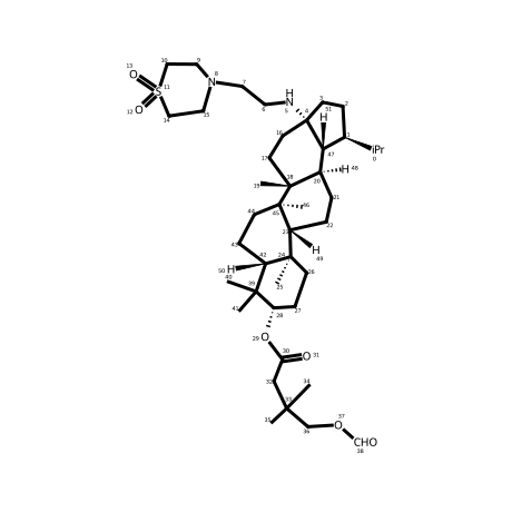 CC(C)[C@@H]1CC[C@]2(NCCN3CCS(=O)(=O)CC3)CC[C@]3(C)[C@H](CC[C@@H]4[C@@]5(C)CC[C@H](OC(=O)CC(C)(C)COC=O)C(C)(C)[C@@H]5CC[C@]43C)[C@@H]12